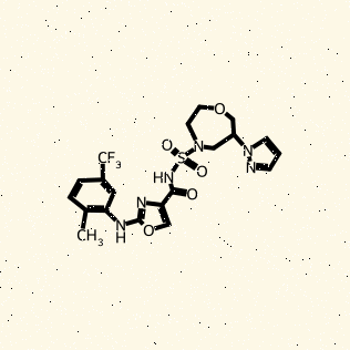 Cc1ccc(C(F)(F)F)cc1Nc1nc(C(=O)NS(=O)(=O)N2CCOCC(n3cccn3)C2)co1